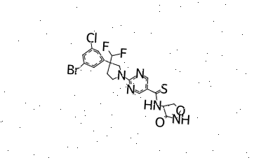 O=C1NOCC1NC(=S)c1cnc(N2CCC(c3cc(Cl)cc(Br)c3)(C(F)F)C2)nc1